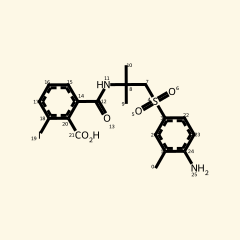 Cc1cc(S(=O)(=O)CC(C)(C)NC(=O)c2cccc(I)c2C(=O)O)ccc1N